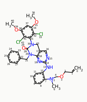 C=CCOCN(C)c1ccccc1Nc1ncc2c(n1)N(Cc1ccccc1)C(=O)N(c1c(Cl)c(OC)cc(OC)c1Cl)C2